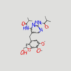 COc1cc(Cc2cnc(NC(=O)C(C)C)nc2NC(=O)C(C)C)c2cc(CO)oc2c1OC